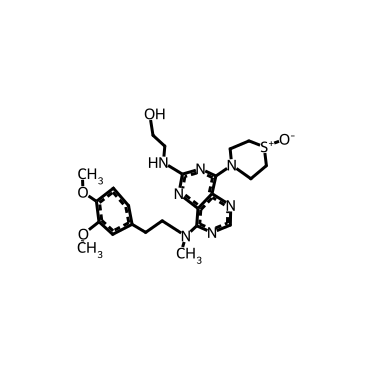 COc1ccc(CCN(C)c2ncnc3c(N4CC[S+]([O-])CC4)nc(NCCO)nc23)cc1OC